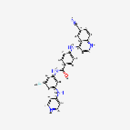 N#Cc1ccc2nccc(Nc3ccc(C(=O)Nc4cc(F)cc(Nc5ccncc5)c4)cc3)c2c1